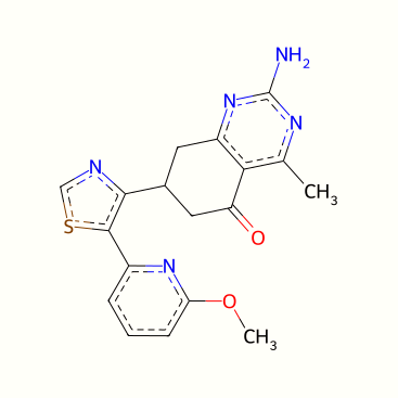 COc1cccc(-c2scnc2C2CC(=O)c3c(C)nc(N)nc3C2)n1